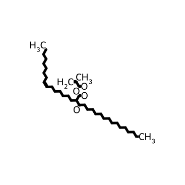 C=C(C)C(=O)OC(=O)C(CCCCCC/C=C\CCCCCCCC)C(=O)CCCCCCCCCCCCCCC